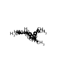 CC/N=C1\CC23Oc4cc(N(CC)CC)ccc4C(c4ccc(S(=O)(=O)NCCCC5=CN(C)NN5)cc4S(=O)(=O)O)=C2C[C@@H]13